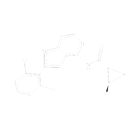 O=C(Nc1nccc2nc(-c3c(Cl)cccc3Cl)sc12)[C@@H]1C[C@H]1F